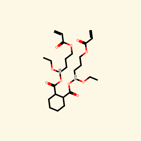 C=CC(=O)OCCC[SiH](OCC)OC(=O)C1CCCCC1C(=O)O[SiH](CCCOC(=O)C=C)OCC